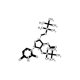 CC(C)(C)[Si](C)(C)OC[C@H]1O[C@@H](n2ccc(=O)[nH]c2=O)[C@H](O[Si](C)(C)C(C)(C)C)[C@@H]1OC=O